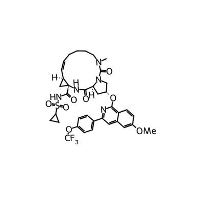 COc1ccc2c(O[C@@H]3C[C@H]4C(=O)N[C@]5(C(=O)NS(=O)(=O)C6CC6)C[C@H]5/C=C\CCCCN(C)C(=O)N4C3)nc(-c3ccc(OC(F)(F)F)cc3)cc2c1